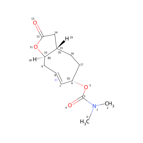 CN(C)C(=O)O[C@@H]1/C=C/C[C@H]2OC(=O)C[C@@H]2CC1